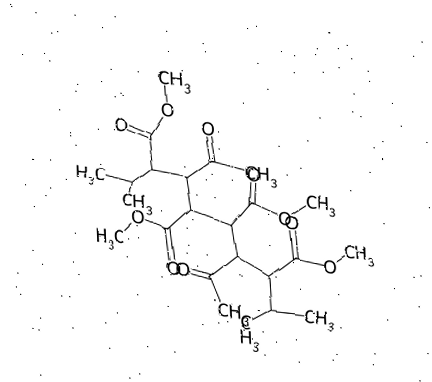 COC(=O)C(C(C)C)C(C(C)=O)C(C(=O)OC)C(C(=O)OC)C(C(C)=O)C(C(=O)OC)C(C)C